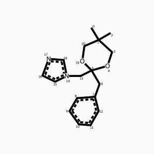 CC1(C)COC(Cc2ccccc2)(Cn2ccnc2)OC1